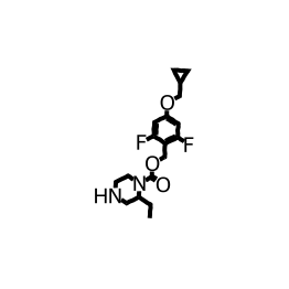 CCC1CNCCN1C(=O)OCc1c(F)cc(OCC2CC2)cc1F